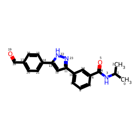 CC(C)NC(=O)c1cccc(-c2cc(-c3ccc(C=O)cc3)[nH]n2)c1